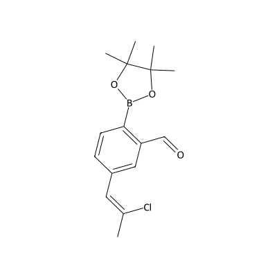 C/C(Cl)=C/c1ccc(B2OC(C)(C)C(C)(C)O2)c(C=O)c1